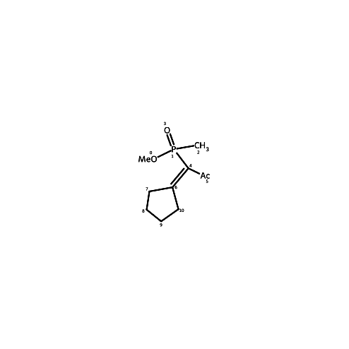 COP(C)(=O)C(C(C)=O)=C1CCCC1